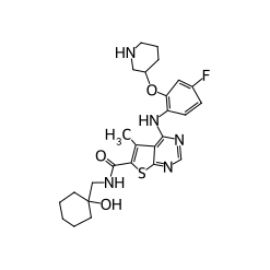 Cc1c(C(=O)NCC2(O)CCCCC2)sc2ncnc(Nc3ccc(F)cc3OC3CCCNC3)c12